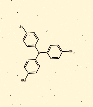 Bc1ccc(N(c2ccc(C(C)(C)C)cc2)c2ccc(C(C)(C)C)cc2)cc1